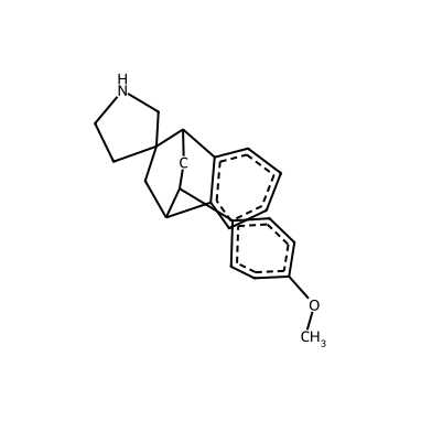 COc1ccc(C2CC3c4ccccc4C2CC32CCNC2)cc1